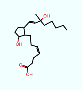 CCCCCC(C)(O)/C=C/C1CCC(O)C1CC/C=C\CCC(=O)O